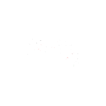 CC1CC2(C(=O)OCC3COC4(O3)C(C)CC3CCCC4C3)CCCC(C2)C12OCCC(F)(F)CO2